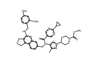 COc1ccc(CNc2nc3cc(CN(C(=O)c4cnc(C5CC5)nc4)c4cn(C5CCN(C(=O)OC(C)(C)C)CC5)nc4C)ccc3c3c2COC3)c(OC)c1